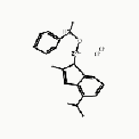 CC1=Cc2c(C(C)C)cccc2[CH]1[Zr+2][O][SiH](C)c1ccccc1.[Cl-].[Cl-]